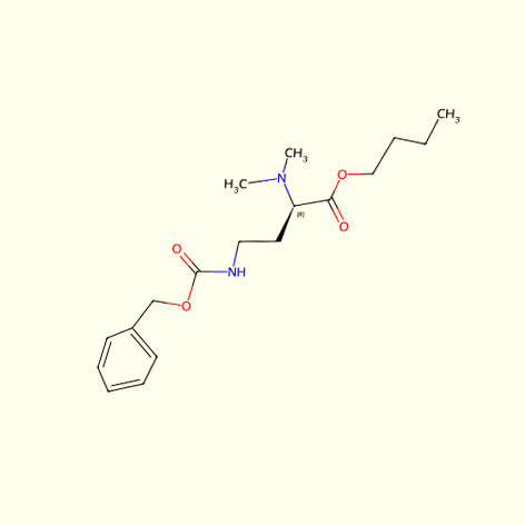 CCCCOC(=O)[C@@H](CCNC(=O)OCc1ccccc1)N(C)C